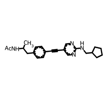 CC(=O)NC(C)Cc1ccc(C#Cc2cnc(NCC3CCCC3)nc2)cc1